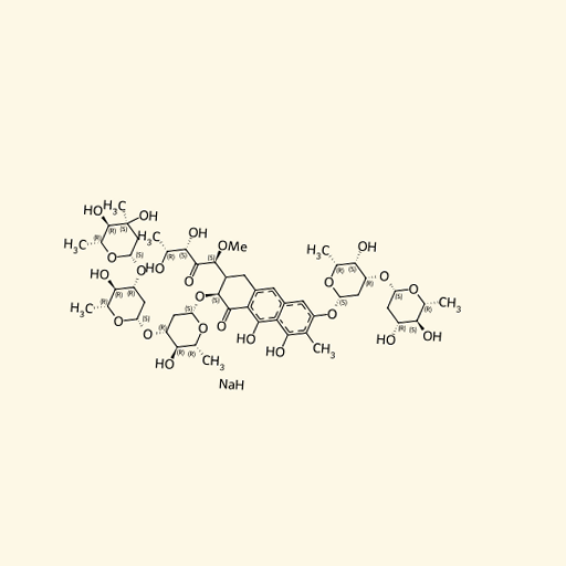 CO[C@H](C(=O)[C@@H](O)[C@@H](C)O)C1Cc2cc3cc(O[C@H]4C[C@@H](O[C@H]5C[C@@H](O)[C@H](O)[C@@H](C)O5)[C@@H](O)[C@@H](C)O4)c(C)c(O)c3c(O)c2C(=O)[C@H]1O[C@H]1C[C@@H](O[C@H]2C[C@@H](O[C@H]3C[C@](C)(O)[C@H](O)[C@@H](C)O3)[C@H](O)[C@@H](C)O2)[C@H](O)[C@@H](C)O1.[NaH]